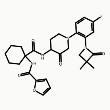 CC1(C)CN(c2cc(F)ccc2N2CCC(NC(=O)C3(NC(=O)c4ccco4)CCCCC3)C(=O)C2)C1=O